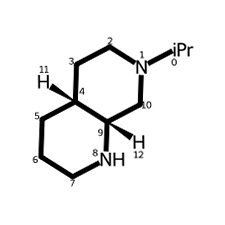 CC(C)N1CC[C@H]2CCCN[C@H]2C1